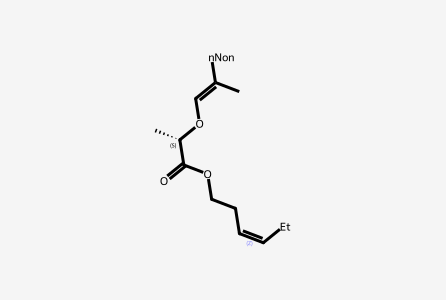 CC/C=C\CCOC(=O)[C@H](C)OC=C(C)CCCCCCCCC